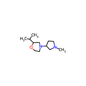 CC(C)C1CN(C2CCN(C)C2)CCO1